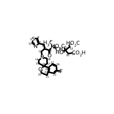 CN(C)C(=O)C(Cc1cscn1)CN1CCC2(CC1)OCCc1cc(F)ccc12.O=C(O)CC(O)(CC(=O)O)C(=O)O